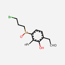 CCCc1c([S+]([O-])CCCBr)ccc(CC=O)c1O